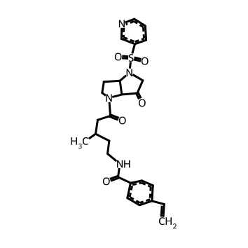 C=Cc1ccc(C(=O)NCCC(C)CC(=O)N2CCC3C2C(=O)CN3S(=O)(=O)c2cccnc2)cc1